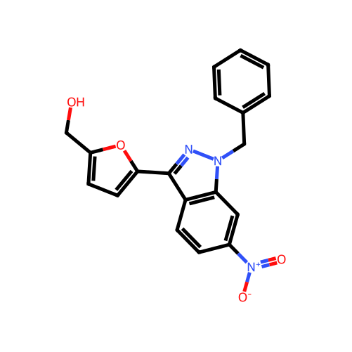 O=[N+]([O-])c1ccc2c(-c3ccc(CO)o3)nn(Cc3ccccc3)c2c1